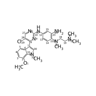 COc1cccc2c(-c3nc(Nc4ccc(N(C)CCN(C)C)c(N)c4)ncc3Cl)cn(C)c12